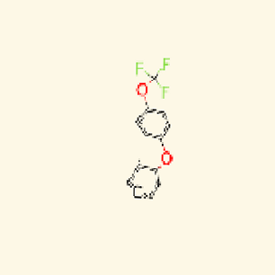 FC(F)(F)Oc1ccc(Oc2[c]cccc2)cc1